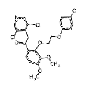 COc1ccc(C(=O)Cc2c(Cl)cncc2Cl)c(OCCOc2ccc(Cl)cc2)c1OC